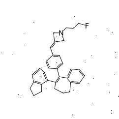 FCCCN1CC(=Cc2ccc(C3=C(c4cccc5c4CCC5)CCCc4ccccc43)cc2)C1